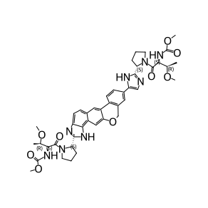 COC(=O)N[C@H](C(=O)N1CCC[C@H]1c1ncc(-c2ccc3c(c2)COc2cc4c(ccc5nc([C@@H]6CCCN6C(=O)[C@@H](NC(=O)OC)[C@@H](C)OC)[nH]c54)cc2-3)[nH]1)[C@@H](C)OC